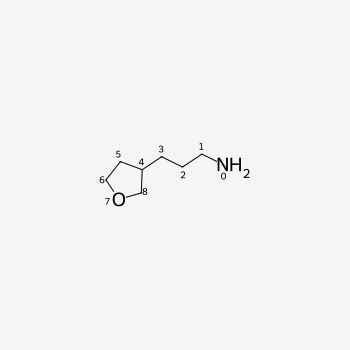 NCCCC1CCOC1